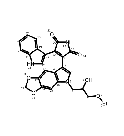 CCOCC(O)Cn1cc(C2=C(c3c[nH]c4ccccc34)C(=O)NC2=O)c2cc3c(cc21)OCO3